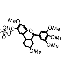 COc1ccc(C2CCC(OC)CC2C(=O)c2cc(OC)c(OC)c(OC)c2)cc1OOP(=O)(O)O